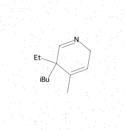 CCC(C)C1(CC)C=NCC=C1C